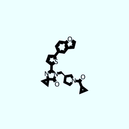 O=C(C1CC1)N1CC[C@@H](CN2C(=O)C3(CC3)N=C2c2ccc(-c3ccc4occc4c3)s2)C1